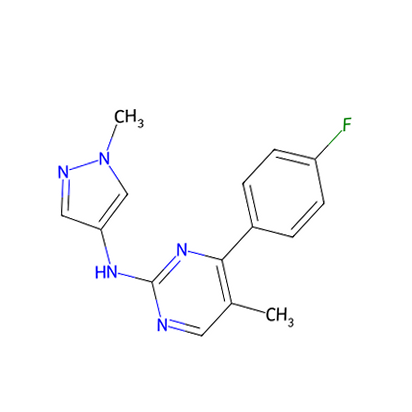 Cc1cnc(Nc2cnn(C)c2)nc1-c1ccc(F)cc1